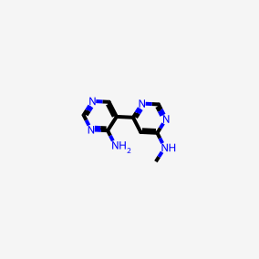 CNc1cc(-c2cncnc2N)ncn1